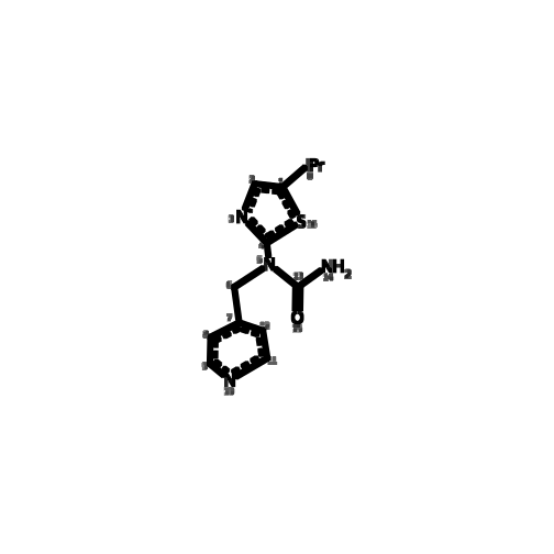 CC(C)c1cnc(N(Cc2ccncc2)C(N)=O)s1